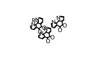 O=C1C(=O)c2cccnc2-c2ncccc21.O=C1C(=O)c2cccnc2-c2ncccc21.O=C1C(=O)c2cccnc2-c2ncccc21.[Ru]